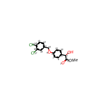 COC(=O)[C@H](O)c1ccc(OCc2ccc(Cl)c(Cl)c2)cc1